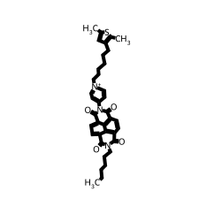 CCCCCCN1C(=O)c2ccc3c4c(ccc(c24)C1=O)C(=O)N(c1cc[n+](CCCCCCc2cc(C)sc2C)cc1)C3=O